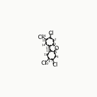 Clc1cc2oc3cc(Cl)c(Cl)cc3c2cc1Cl